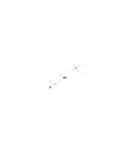 CCCCC(CC)(CCCC)C(C)CC.O=[PH](O)O[PH](=O)O